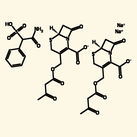 CC(=O)CC(=O)OCC1=C(C(=O)[O-])N2C(=O)C[C@@H]2SC1.CC(=O)CC(=O)OCC1=C(C(=O)[O-])N2C(=O)C[C@@H]2SC1.NC(=O)C(c1ccccc1)S(=O)(=O)O.[Na+].[Na+]